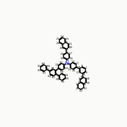 C1=Cc2cc(-c3cccc(-c4ccc(N(c5ccc(-c6ccc7ccccc7c6)cc5)c5ccc(-c6cc(-c7ccccc7)ccc6-c6ccccc6)cc5)cc4)c3)ccc2CC1